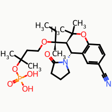 CC[C@@](C)(OCCC(C)(C)OP(=O)(O)O)[C@@H]1[C@@H](N2CCCC2=O)c2cc(C#N)ccc2OC1(C)C